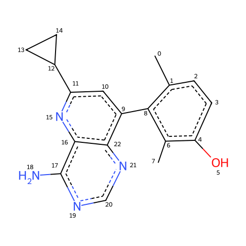 Cc1ccc(O)c(C)c1-c1cc(C2CC2)nc2c(N)ncnc12